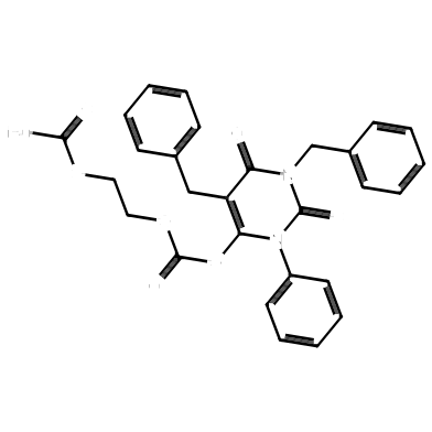 CCC(C)C(=O)OCCOC(=O)Oc1c(Cc2ccccc2)c(=O)n(Cc2ccccc2)c(=O)n1-c1ccccc1